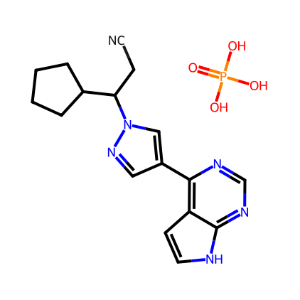 N#CCC(C1CCCC1)n1cc(-c2ncnc3[nH]ccc23)cn1.O=P(O)(O)O